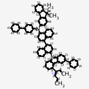 C=C/C=C(\C=C)c1cccc2c1c1cc(-c3ccccc3)ccc1n2-c1ccc(-c2ccc(N(c3ccc(-c4ccccc4)cc3)c3ccc4c(c3)-c3ccccc3C4(C)C)c3ccccc23)c2ccccc12